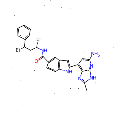 CCC(CC(CC)c1ccccc1)NC(=O)c1ccc2[nH]c(-c3cc(N)nc4[nH]c(C)nc34)cc2c1